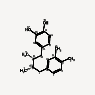 Cc1ccc(C[C@H](C)[C@H](C)Cc2ccc(O)c(O)c2)cc1C